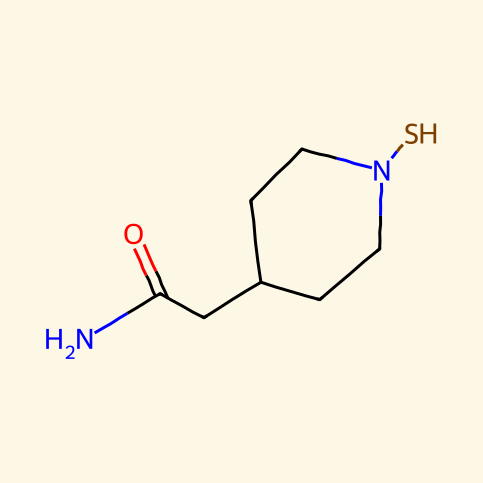 NC(=O)CC1CCN(S)CC1